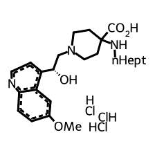 CCCCCCCNC1(C(=O)O)CCN(C[C@H](O)c2ccnc3ccc(OC)cc23)CC1.Cl.Cl.Cl